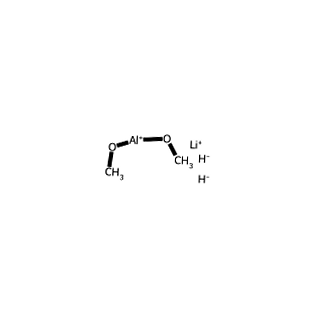 C[O][Al+][O]C.[H-].[H-].[Li+]